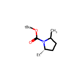 CC[C@H]1CCC(C)N1C(=O)OC(C)(C)C